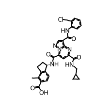 Cc1c(C(=O)O)ccc2c1CC[C@@H]2NC(=O)c1cc(C(=O)NCC2CC2)nc2c(C(=O)Nc3ccccc3Cl)cnn12